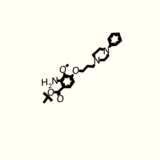 COc1c(OCCCN2CCN(c3ccccc3)CC2)ccc(C(=O)OC(C)(C)C)c1N